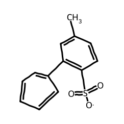 Cc1ccc(S([O])(=O)=O)c(-c2ccccc2)c1